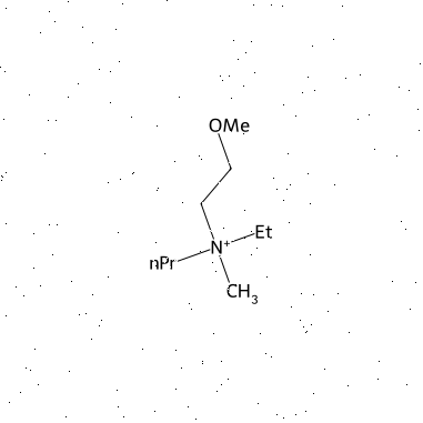 CCC[N+](C)(CC)CCOC